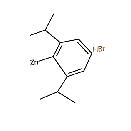 Br.CC(C)c1cccc(C(C)C)[c]1[Zn]